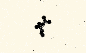 c1ccc(-c2cc(-c3cccc(-c4cccc5c6ccccc6c6cc(-c7ccc8c(c7)oc7ccccc78)ccc6c45)c3)nc(-c3ccccc3)n2)cc1